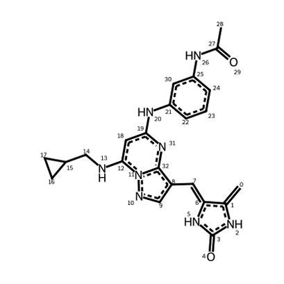 C=c1[nH]c(=O)[nH]/c1=C\c1cnn2c(NCC3CC3)cc(Nc3cccc(NC(C)=O)c3)nc12